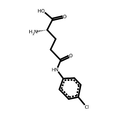 N[C@@H](CCC(=O)Nc1ccc(Cl)cc1)C(=O)O